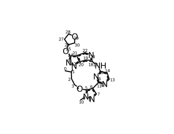 CC1CCOc2c(cnn2C)-c2nccc(n2)Nc2cc3c(cn2)c(OC2CCOC2)nn31